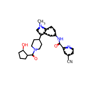 Cn1cc(C2CCN(C(=O)C3CCC[C@H]3O)CC2)c2cc(NC(=O)c3cc(C#N)ccn3)ccc21